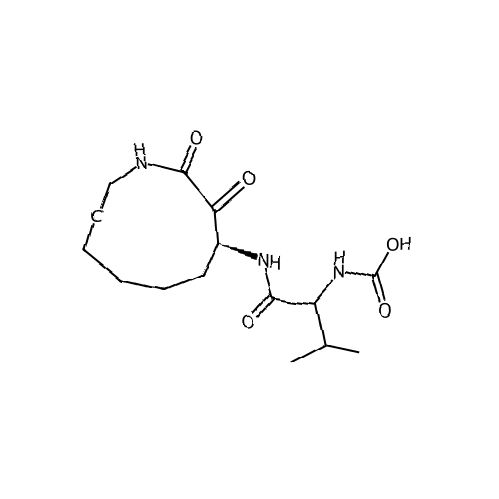 CC(C)C(NC(=O)O)C(=O)N[C@H]1CCCCCCNC(=O)C1=O